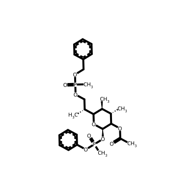 CC(=O)OC1[C@@H](OP(C)(=O)Oc2ccccc2)OC([C@H](C)COP(C)(=O)OCc2ccccc2)[C@@H](C)[C@@H]1C